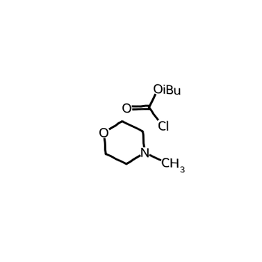 CC(C)COC(=O)Cl.CN1CCOCC1